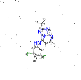 Cc1cc(Nc2cc(F)c(C)c(F)c2)n2nc(C(C)C)nc2n1